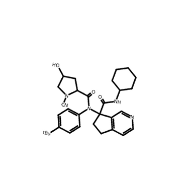 CC(C)(C)c1ccc(N(C(=O)C2CC(O)CN2C#N)C2(C(=O)NC3CCCCC3)CCc3ccncc32)cc1